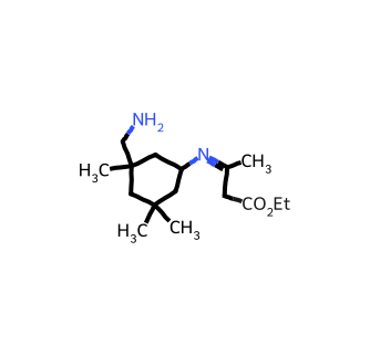 CCOC(=O)CC(C)=NC1CC(C)(C)CC(C)(CN)C1